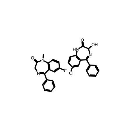 CN1C(=O)CN=C(c2ccccc2)c2cc(Cl)ccc21.O=C1Nc2ccc(Cl)cc2C(c2ccccc2)=NC1O